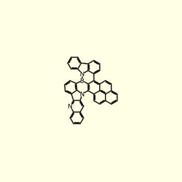 c1ccc2nc3c4cccc5c4n(c3cc2c1)-c1c2c(c3ccc4cccc6ccc1c3c46)-c1cccc3c4ccccc4n(c13)B25